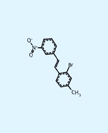 Cc1ccc(/C=C/c2cccc([N+](=O)[O-])c2)c(Br)c1